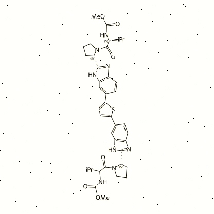 COC(=O)NC(C(=O)N1CCC[C@H]1c1nc2ccc(-c3ccc(-c4ccc5nc([C@@H]6CCCN6C(=O)[C@@H](NC(=O)OC)C(C)C)[nH]c5c4)s3)cc2[nH]1)C(C)C